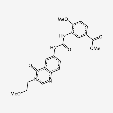 COCCn1cnc2ccc(NC(=O)Nc3cc(C(=O)OC)ccc3OC)cc2c1=O